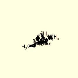 C=CCCCCc1cc(-c2cnc(C)nc2)cc2c(C(C)=O)nn(CC(=O)N3[C@H](C(=O)Nc4nc(Br)ccc4C)C[C@@]4(COCc5cccc(CC=C)c5)C[C@@H]34)c12